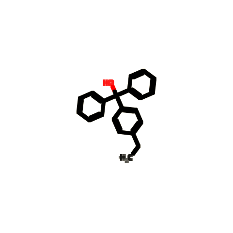 [CH2]Cc1ccc(C(O)(c2ccccc2)c2ccccc2)cc1